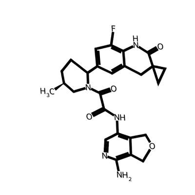 C[C@H]1CCC(c2cc(F)c3c(c2)CC2(CC2)C(=O)N3)N(C(=O)C(=O)Nc2cnc(N)c3c2COC3)C1